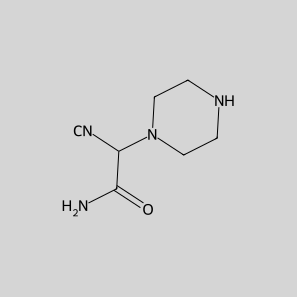 [C-]#[N+]C(C(N)=O)N1CCNCC1